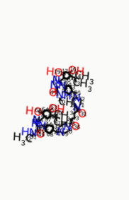 CCNC(=O)c1nnc(-c2cc(C(C)C)c(O)cc2O)n1-c1ccc(CN2CCN(C(=O)CCCC(=O)N3CCN(Cc4ccc(-n5c(C(=O)NCC)nnc5-c5cc(C(C)C)c(O)cc5O)cc4)CC3)CC2)cc1